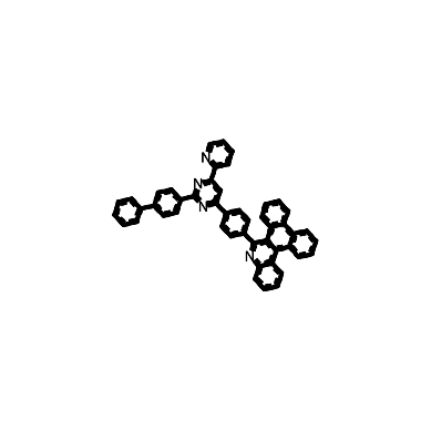 c1ccc(-c2ccc(-c3nc(-c4ccc(-c5nc6ccccc6c6c7ccccc7c7ccccc7c56)cc4)cc(-c4ccccn4)n3)cc2)cc1